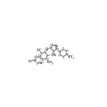 CCN(C)/C=N\c1cc(Cl)c(Oc2snc(-c3ccc(C(F)(F)F)cc3)c2C#N)cc1C